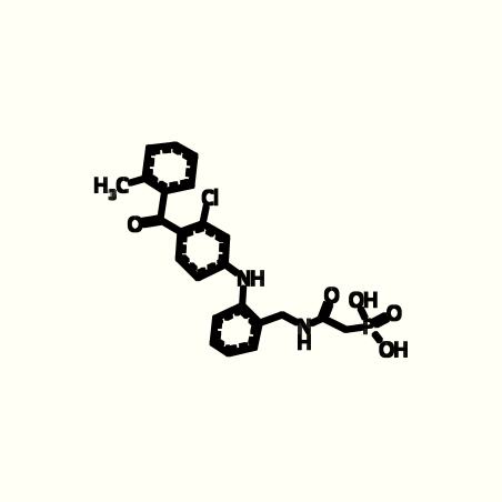 Cc1ccccc1C(=O)c1ccc(Nc2ccccc2CNC(=O)CP(=O)(O)O)cc1Cl